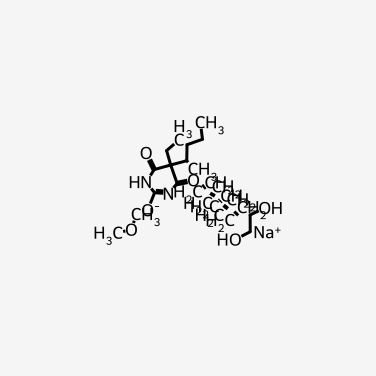 C=C.C=C.C=C.C=C.C=C.CCCC(C)C1(CC)C(=O)N=C([O-])NC1=O.COC.OCCO.[Na+]